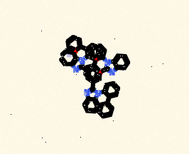 C=Cc1nc(-c2cc(-c3nc4ccccc4n3-c3ccccc3-c3ccccc3)cc(-c3nc4ccccc4n3-c3ccccc3-c3ccccc3)c2)n(-c2ccccc2-c2ccccc2)c1/C=C\C